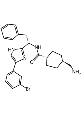 NC[C@H]1CC[C@H](C(=O)N[C@@H](Cc2ccccc2)c2nc(-c3cccc(Br)c3)c[nH]2)CC1